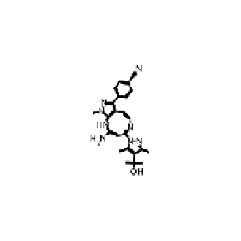 Cc1nn(-c2cc(N)[nH]c3c(ccn2)c(-c2ccc(C#N)cc2)nn3C)c(C)c1C(C)(C)O